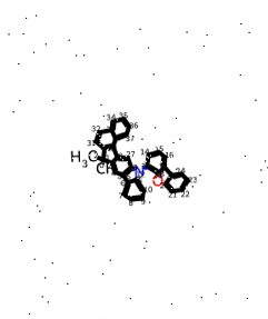 CC1(C)c2cc3c4ccccc4n(-c4cccc5c4oc4ccccc45)c3cc2-c2c1ccc1ccccc21